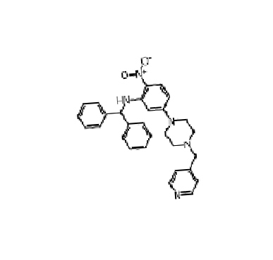 O=[N+]([O-])c1ccc(N2CCN(Cc3ccncc3)CC2)cc1NC(c1ccccc1)c1ccccc1